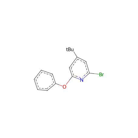 CC(C)(C)c1cc(Br)nc(Oc2ccccc2)c1